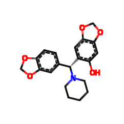 Oc1cc2c(cc1[C@@H](c1ccc3c(c1)OCO3)N1CCCCC1)OCO2